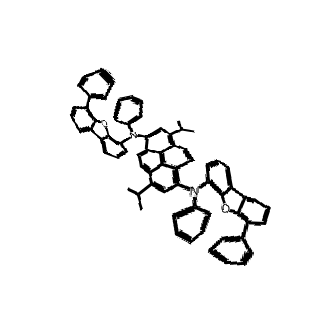 CC(C)c1cc(N(c2ccccc2)c2cccc3c2oc2c(-c4ccccc4)cccc23)c2ccc3c(C(C)C)cc(N(c4ccccc4)c4cccc5c4oc4c(-c6ccccc6)cccc45)c4ccc1c2c34